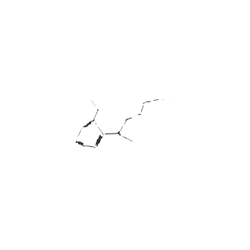 CCCCCCCCCCC(C)c1ccccc1CBr